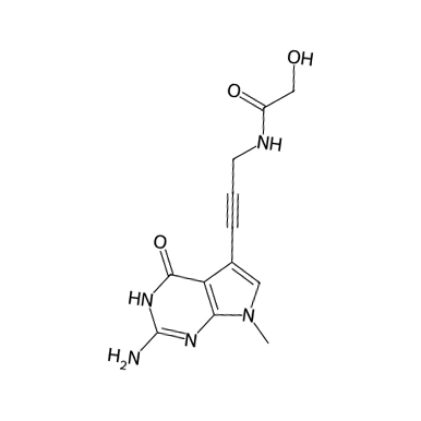 Cn1cc(C#CCNC(=O)CO)c2c(=O)[nH]c(N)nc21